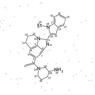 C=C(c1cc2c3c(c1)nc(-c1cc4ccccc4n1CC)n3CCC2)N1CCCC(N)C1